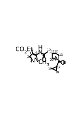 CCOC(=O)c1cnn(C)c1NC(=O)C[C@@H]1CCN(C(=O)C2CC2)C1